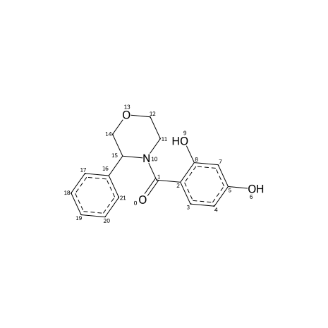 O=C(c1ccc(O)cc1O)N1CCOCC1c1ccccc1